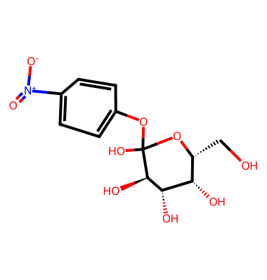 O=[N+]([O-])c1ccc(OC2(O)O[C@H](CO)[C@H](O)[C@H](O)[C@H]2O)cc1